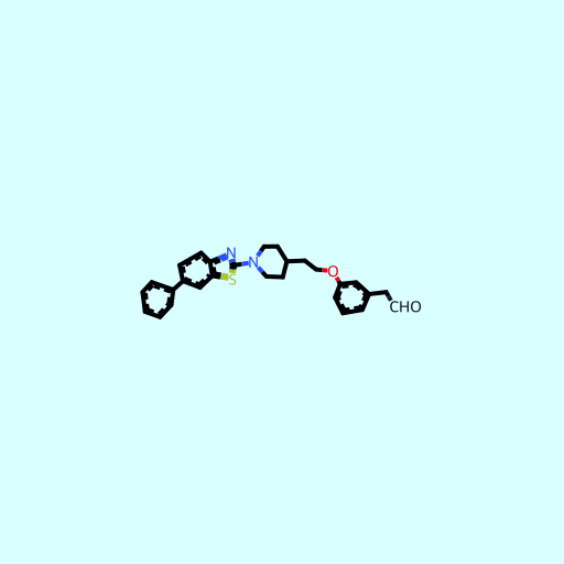 O=CCc1cccc(OCCC2CCN(c3nc4ccc(-c5ccccc5)cc4s3)CC2)c1